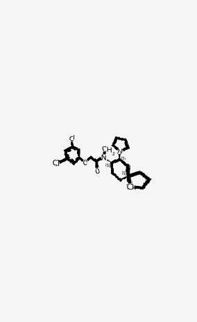 CN(C(=O)COc1cc(Cl)cc(Cl)c1)[C@H]1CC[C@]2(CCCO2)C[C@@H]1N1CCCC1